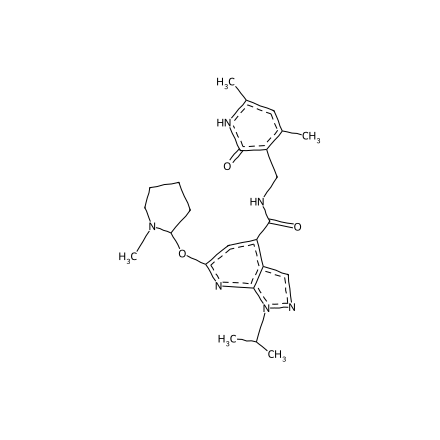 Cc1cc(C)c(CNC(=O)c2cc(OC3CCCCN3C)nc3c2cnn3C(C)C)c(=O)[nH]1